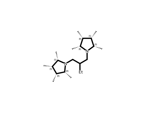 CCC(CN1[C@H](C)[C@H](C)[C@H](C)[C@@H]1C)CN1[C@H](C)[C@H](C)[C@H](C)[C@@H]1C